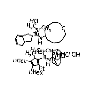 CCCCCCCCC1=C(CCCCCC)C(CC)=[C]([Ti]([NH]C23CC4CC(CC(C4)C2)C3)[SiH](C)C)C1C.C[SiH](C)[Ti]([NH]C1CCCCCCCCCCC1)[CH]1CC2=CC=CCC2C1.Cl.Cl.Cl.Cl